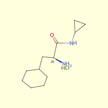 Cl.N[C@@H](CC1CCCCC1)C(=O)NC1CC1